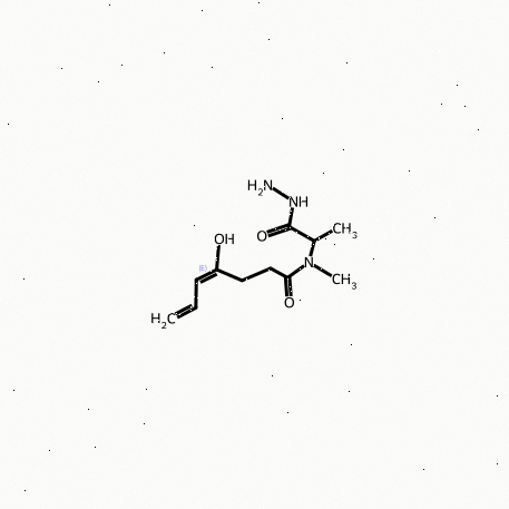 C=C/C=C(/O)CCC(=O)N(C)C(C)C(=O)NN